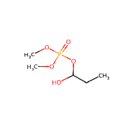 CCC(O)OP(=O)(OC)OC